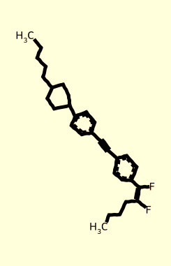 CCCCCC1CCC(c2ccc(C#Cc3ccc(/C(F)=C(/F)CCCC)cc3)cc2)CC1